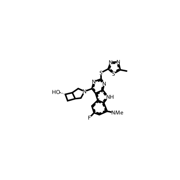 CNc1cc(F)cc2c1[nH]c1nc(Sc3nnc(C)s3)nc(N3CC4C[C@H](O)C4C3)c12